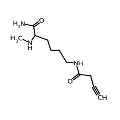 C#CCC(=O)NCCCCC(NC)C(N)=O